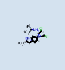 CC(C)[C@H](N)C(=O)O.N[C@@H](Cc1ccc(N(CCCl)CCCl)cc1)C(=O)O